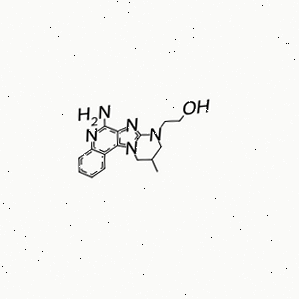 CC1CN(CCO)c2nc3c(N)nc4ccccc4c3n2C1